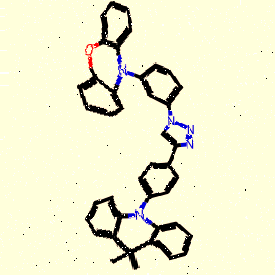 CC1(C)c2ccccc2N(c2ccc(-c3cn(-c4cccc(N5c6ccccc6Oc6ccccc65)c4)nn3)cc2)c2ccccc21